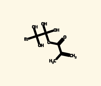 C=C(C)C(=O)OC(O)(O)C(O)(O)CC